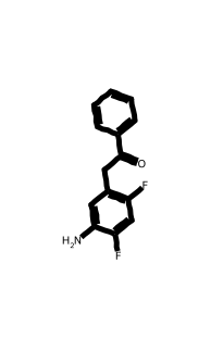 Nc1cc(CC(=O)c2ccccc2)c(F)cc1F